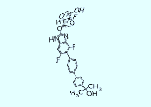 CC(C)(O)c1ccc(-c2ccc(-c3c(F)cc4[nH]c(O[C@@H]5CO[C@]6(F)[C@H](O)CO[C@H]56)nc4c3F)cc2)cc1